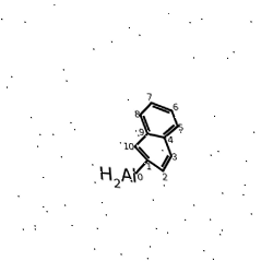 [AlH2][c]1ccc2ccccc2c1